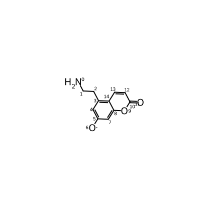 NCCc1cc([O])cc2oc(=O)ccc12